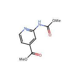 COC(=O)Nc1cc(C(=O)OC)ccn1